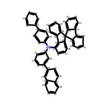 c1ccc(-c2ccc(N(c3cccc(-c4ccc5ccccc5c4)c3)c3cccc4c3-c3ccccc3C43c4ccccc4-c4ccccc43)cc2)cc1